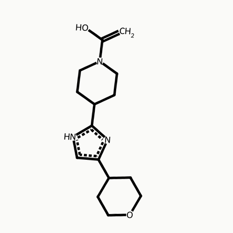 C=C(O)N1CCC(c2nc(C3CCOCC3)c[nH]2)CC1